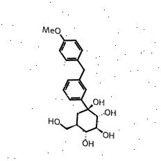 COc1ccc(Cc2cccc([C@@]3(O)C[C@H](CO)[C@@H](O)[C@H](O)[C@H]3O)c2)cc1